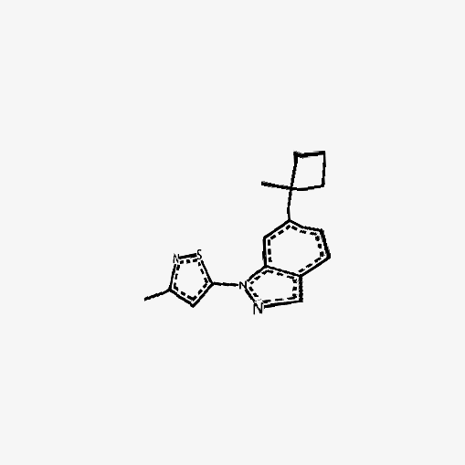 Cc1cc(-n2ncc3ccc(C4(C)CCC4)cc32)sn1